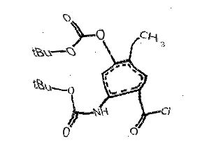 Cc1cc(C(=O)Cl)c(NC(=O)OC(C)(C)C)cc1OC(=O)OC(C)(C)C